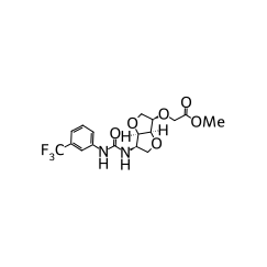 COC(=O)CO[C@@H]1CO[C@H]2[C@@H]1OC[C@H]2NC(=O)Nc1cccc(C(F)(F)F)c1